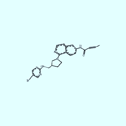 CC#CC(=O)Nc1ccc2c(N3CCC(CNc4ncc(Br)cn4)C3)nccc2c1